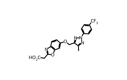 Cc1nn(-c2ccc(C(F)(F)F)cc2)nc1COc1ccc2nc(CC(=O)O)oc2c1